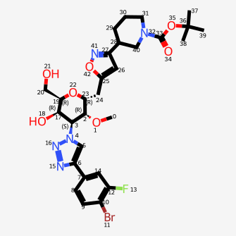 CO[C@@H]1[C@@H](n2cc(-c3ccc(Br)c(F)c3)nn2)[C@@H](O)[C@@H](CO)O[C@@H]1Cc1cc(C2CCCN(C(=O)OC(C)(C)C)C2)no1